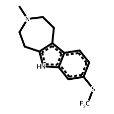 CN1CCc2[nH]c3cc(SC(F)(F)F)ccc3c2CC1